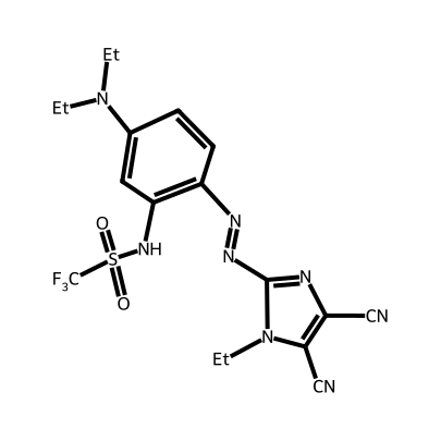 CCN(CC)c1ccc(/N=N/c2nc(C#N)c(C#N)n2CC)c(NS(=O)(=O)C(F)(F)F)c1